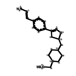 NN=Cc1ccc(C2=NOC(CC3CCN(CC(=O)O)CC3)C2)cc1